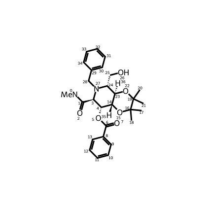 CNC(=O)[C@@H]1[C@@H](OC(=O)c2ccccc2)[C@H]2OC(C)(C)C(C)(C)O[C@@H]2[C@@H](CO)N1Cc1ccccc1